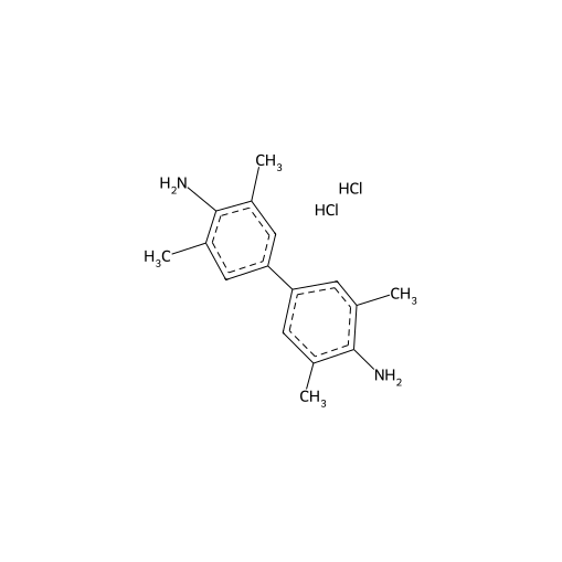 Cc1cc(-c2cc(C)c(N)c(C)c2)cc(C)c1N.Cl.Cl